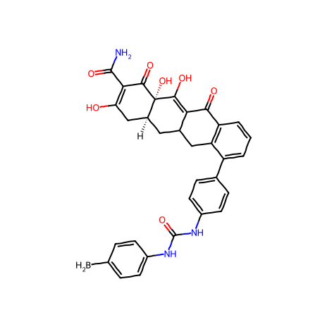 Bc1ccc(NC(=O)Nc2ccc(-c3cccc4c3CC3C[C@H]5CC(O)=C(C(N)=O)C(=O)[C@@]5(O)C(O)=C3C4=O)cc2)cc1